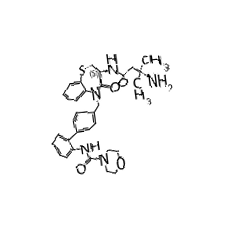 CC(C)(N)CC(=O)N[C@@H]1CSc2ccccc2N(Cc2ccc(-c3ccccc3NC(=O)N3CCOCC3)cc2)C1=O